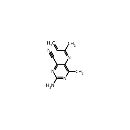 C=C/C(C)=N\c1c(C)nc(N)nc1C#N